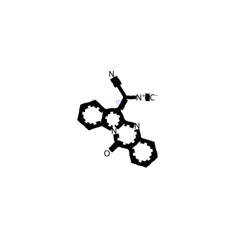 [C-]#[N+]/C(C#N)=c1/c2ccccc2n2c(=O)c3ccccc3nc12